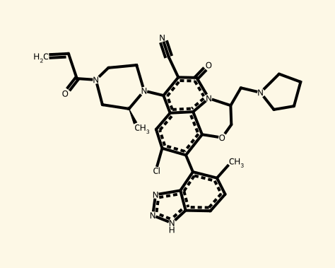 C=CC(=O)N1CCN(c2c(C#N)c(=O)n3c4c(c(-c5c(C)ccc6[nH]nnc56)c(Cl)cc24)OCC3CN2CCCC2)[C@@H](C)C1